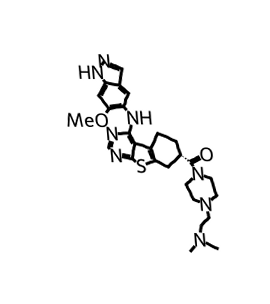 COc1cc2[nH]ncc2cc1Nc1ncnc2sc3c(c12)CC[C@H](C(=O)N1CCN(CCN(C)C)CC1)C3